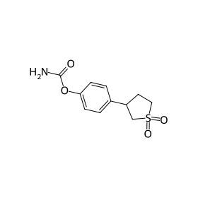 NC(=O)Oc1ccc(C2CCS(=O)(=O)C2)cc1